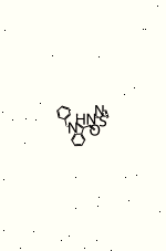 O=C(Nc1nccs1)c1cn(Cc2ccccc2)c2ccccc12